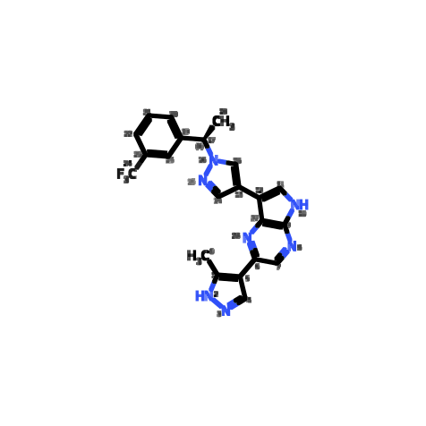 Cc1[nH]ncc1-c1cnc2[nH]cc(-c3cnn([C@H](C)c4cccc(C(F)(F)F)c4)c3)c2n1